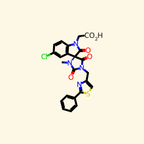 CN1C(=O)N(Cc2csc(-c3ccccc3)n2)C(=O)[C@]12C(=O)N(CC(=O)O)c1ccc(Cl)cc12